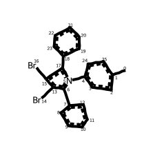 Cc1ccc(-n2c(-c3ccccc3)c(Br)c(Br)c2-c2ccccc2)cc1